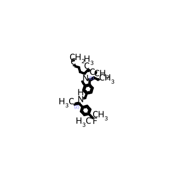 C=C=CCCC(C(C)=C=C)N1Cc2cc(CN/C(=C\C)c3ccc(C(C)(C)F)cc3)ccc2/C1=C\CC